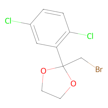 Clc1ccc(Cl)c(C2(CBr)OCCO2)c1